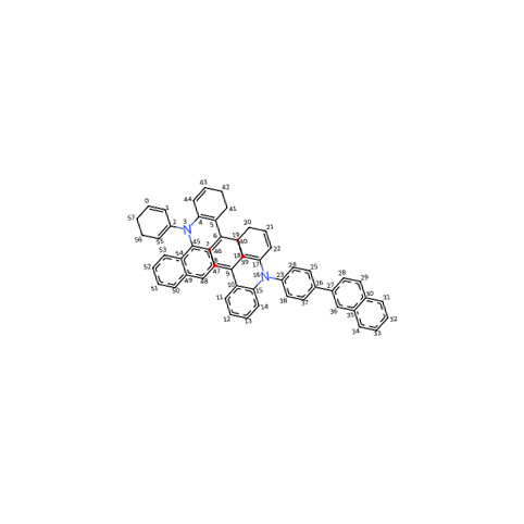 C1=CC(N(C2=C(C3=CC=C(c4ccccc4N(C4=CCCC=C4)c4ccc(-c5ccc6ccccc6c5)cc4)CC3)CCC=C2)c2cccc3ccccc23)=CCC1